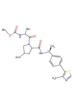 CC(=O)OC1CC(C(=O)N[C@@H](C)c2ccc(-c3scnc3C)cc2)N(C(=O)C(NC(=O)OC(C)(C)C)C(C)(C)C)C1